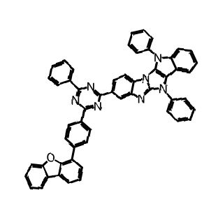 c1ccc(-c2nc(-c3ccc(-c4cccc5c4oc4ccccc45)cc3)nc(-c3ccc4c(c3)nc3n(-c5ccccc5)c5c6ccccc6n(-c6ccccc6)c5n43)n2)cc1